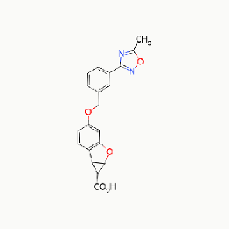 Cc1nc(-c2cccc(COc3ccc4c(c3)OC3C(C(=O)O)C43)c2)no1